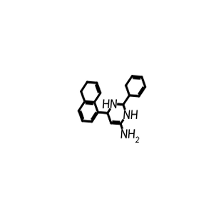 NC1=CC(c2cccc3c2C=CCC3)NC(C2C=CC=CC2)N1